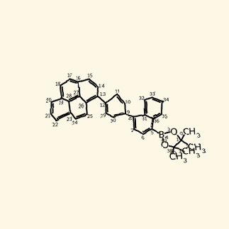 CC1(C)OB(c2ccc(-c3ccc(-c4ccc5ccc6cccc7ccc4c5c67)cc3)c3ccccc23)OC1(C)C